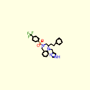 O=S(=O)(c1ccc(C(F)(F)F)cc1)N1Cc2ccccc2N(Cc2c[nH]cn2)C(CCc2ccccc2)C1